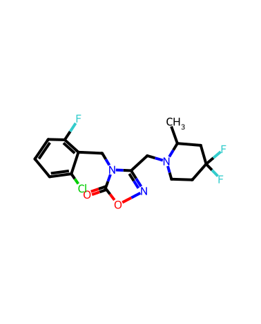 CC1CC(F)(F)CCN1Cc1noc(=O)n1Cc1c(F)cccc1Cl